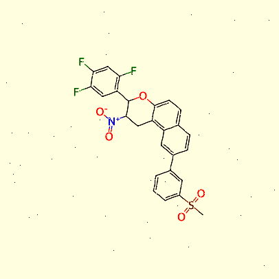 CS(=O)(=O)c1cccc(-c2ccc3ccc4c(c3c2)CC([N+](=O)[O-])C(c2cc(F)c(F)cc2F)O4)c1